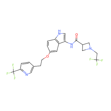 O=C(Nc1c[nH]c2ccc(OCCc3ccc(C(F)(F)F)nc3)cc12)C1CN(CC(F)(F)F)C1